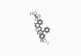 NC(=O)C(CC1CCCc2c(OC(=O)CO)cccc21)C(c1ccccc1)c1ccc([N+](=O)[O-])cc1